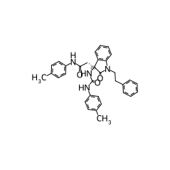 Cc1ccc(NC(=O)C[C@@]2(NC(=O)Nc3ccc(C)cc3)C(=O)N(CCc3ccccc3)c3ccccc32)cc1